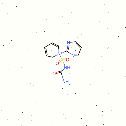 NC(=O)NS(=O)(=O)[N+]1(c2ncccn2)C=CC=CC1